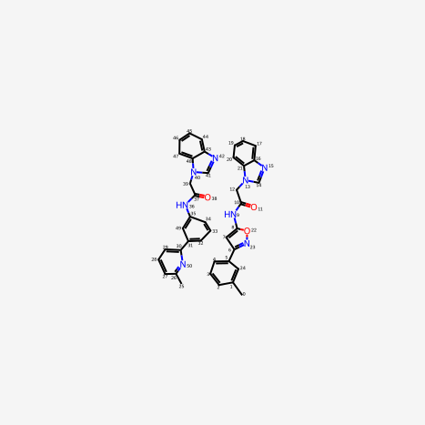 Cc1cccc(-c2cc(NC(=O)Cn3cnc4ccccc43)on2)c1.Cc1cccc(-c2cccc(NC(=O)Cn3cnc4ccccc43)c2)n1